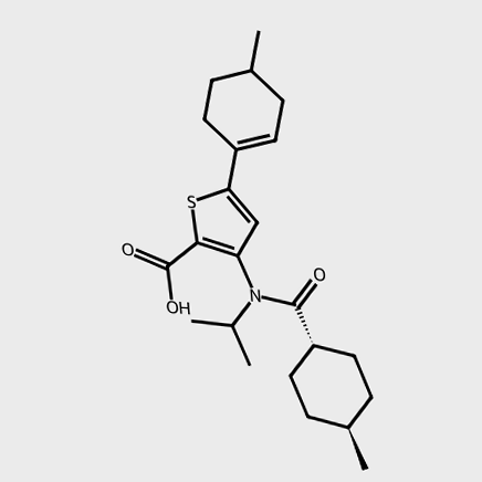 CC1CC=C(c2cc(N(C(=O)[C@H]3CC[C@H](C)CC3)C(C)C)c(C(=O)O)s2)CC1